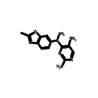 Cc1nc2ccc(N(N)c3nc(N)ncc3N)cc2o1